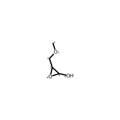 COCC1OC1O